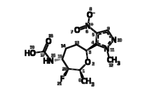 C[C@@H]1O[C@H](c2c([N+](=O)[O-])cnn2C)CC[C@@H](NC(=O)O)[C@@H]1F